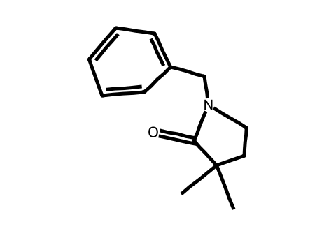 CC1(C)CCN(Cc2ccccc2)C1=O